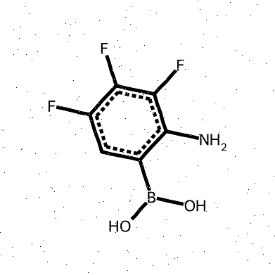 Nc1c(B(O)O)cc(F)c(F)c1F